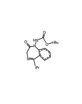 CCCCOC(=O)NN1C(=O)CN=C(C(C)C)c2ccccc21